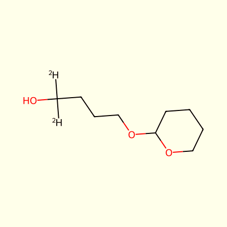 [2H]C([2H])(O)CCCOC1CCCCO1